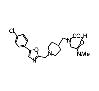 CNC(=O)CN(CC1CCN(Cc2ncc(-c3ccc(Cl)cc3)o2)CC1)C(=O)O